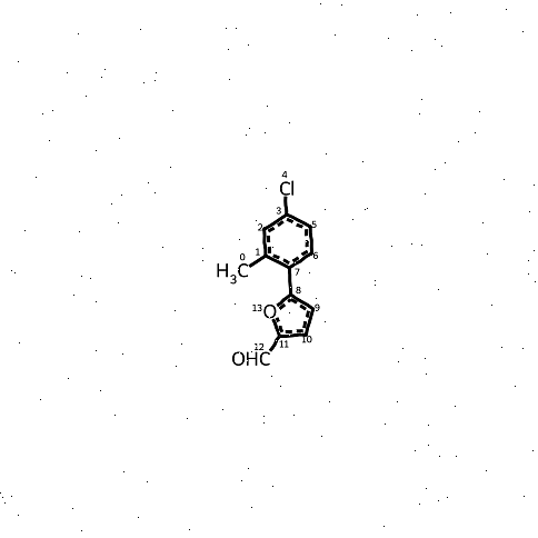 Cc1cc(Cl)ccc1-c1ccc(C=O)o1